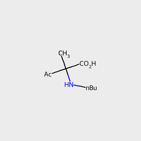 CCCCNC(C)(C(C)=O)C(=O)O